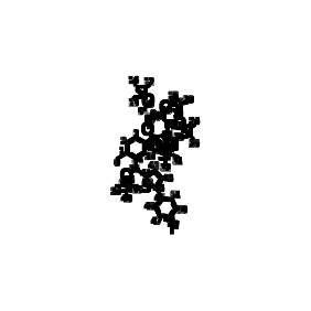 Cc1ccc([C@]2(O)O[C@H](CO[Si](C)(C)C)[C@@H](O[Si](C)(C)C)[C@H](O[Si](C)(C)C)[C@H]2O[Si](C)(C)C)cc1C(O[Si](C)(C)C)c1ccc(-c2ccc(F)cc2)s1